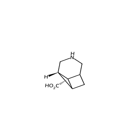 O=C(O)[C@@]12C3CNC[C@H]1C2C3